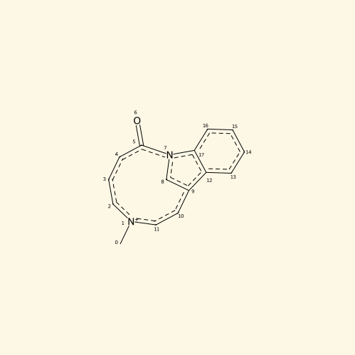 C[n+]1cccc(=O)n2cc(cc1)c1ccccc12